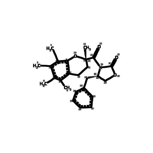 Cc1c(C)c(C)c2c(c1C)CC[C@@](C)(C(=O)N1C(=O)OC[C@@H]1Cc1ccccc1)O2